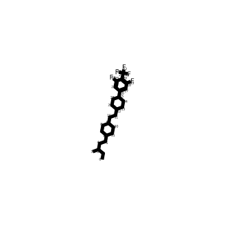 CCC(C)CCC1CCC(CCC2CCC(c3cc(F)c(C(F)(F)F)c(F)c3)CC2)CC1